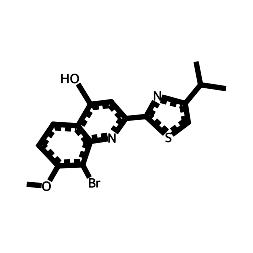 COc1ccc2c(O)cc(-c3nc(C(C)C)cs3)nc2c1Br